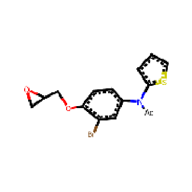 CC(=O)N(c1ccc(OCC2CO2)c(Br)c1)c1cccs1